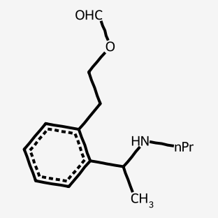 CCCNC(C)c1ccccc1CCOC=O